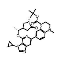 C[C@@H](Oc1nc(-c2ccc3c(c2)N(C(=O)OC(C)(C)C)CCN3C)cc2ncn(C3CC3)c12)C1CNC(=O)C1